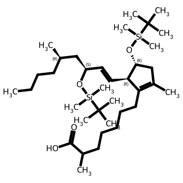 CCCC[C@@H](C)C[C@@H](C=C[C@@H]1C(CCCCCC(C)C(=O)O)=C(C)C[C@H]1O[Si](C)(C)C(C)(C)C)O[Si](C)(C)C(C)(C)C